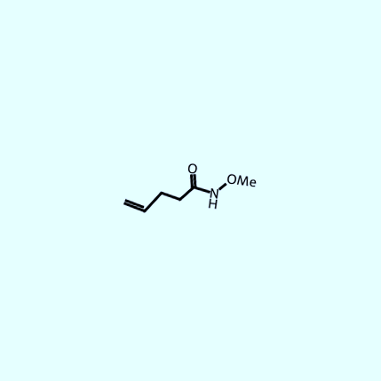 C=CCCC(=O)NOC